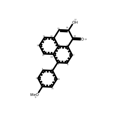 COc1ccc(-c2ccc3c4c(cccc24)C=C(O)C3=O)cc1